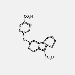 CCOC(=O)c1c2ccccc2n2cc(Oc3cnc(C(=O)O)cn3)ccc12